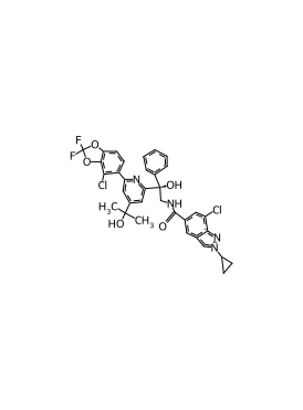 CC(C)(O)c1cc(-c2ccc3c(c2Cl)OC(F)(F)O3)nc([C@@](O)(CNC(=O)c2cc(Cl)c3nn(C4CC4)cc3c2)c2ccccc2)c1